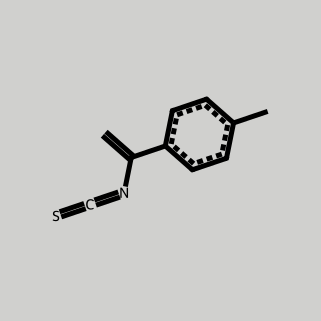 C=C(N=C=S)c1ccc(C)cc1